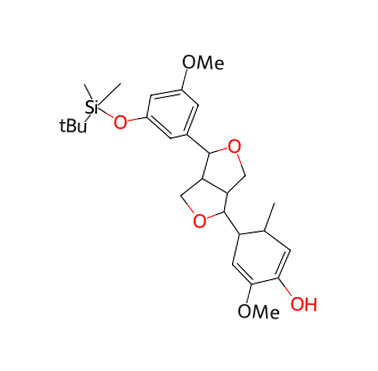 COC1=CC(C2OCC3C(c4cc(OC)cc(O[Si](C)(C)C(C)(C)C)c4)OCC32)C(C)C=C1O